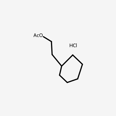 CC(=O)OCCC1CCCCC1.Cl